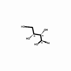 CC(=O)[C@@H](O)[C@@H](O)[C@H](O)CO